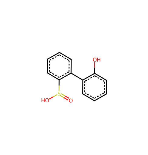 O=S(O)c1ccccc1-c1ccccc1O